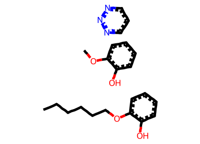 CCCCCCOc1ccccc1O.COc1ccccc1O.c1cnnnc1